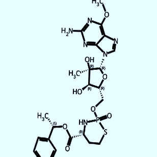 COc1nc(N)nc2c1ncn2[C@@H]1O[C@H](COP2(=O)N[C@@H](C(=O)O[C@@H](C)c3ccccc3)CCS2)[C@@H](O)[C@@]1(C)O